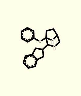 c1ccc(OC23CCC(CNC2C2Cc4ccccc4C2)N3)cc1